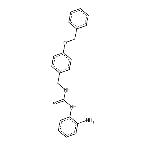 Nc1ccccc1NC(=S)NCc1ccc(OCc2ccccc2)cc1